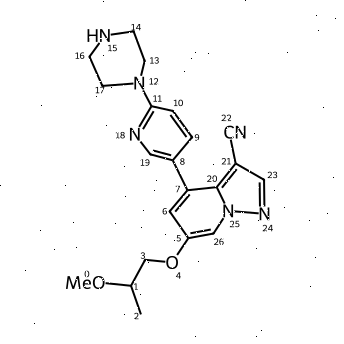 COC(C)COc1cc(-c2ccc(N3CCNCC3)nc2)c2c(C#N)cnn2c1